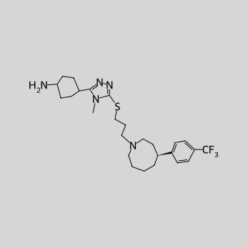 Cn1c(SCCCN2CCCC[C@H](c3ccc(C(F)(F)F)cc3)CC2)nnc1C1CCC(N)CC1